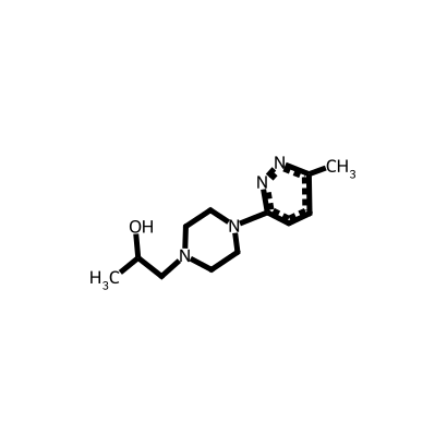 Cc1ccc(N2CCN(CC(C)O)CC2)nn1